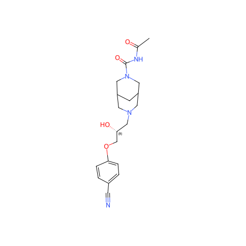 CC(=O)NC(=O)N1CC2CC(CN(C[C@@H](O)COc3ccc(C#N)cc3)C2)C1